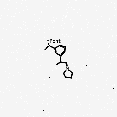 CCCCCC(C)c1cccc(C(C)CN2CCCC2)c1